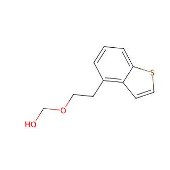 OCOCCc1cccc2sccc12